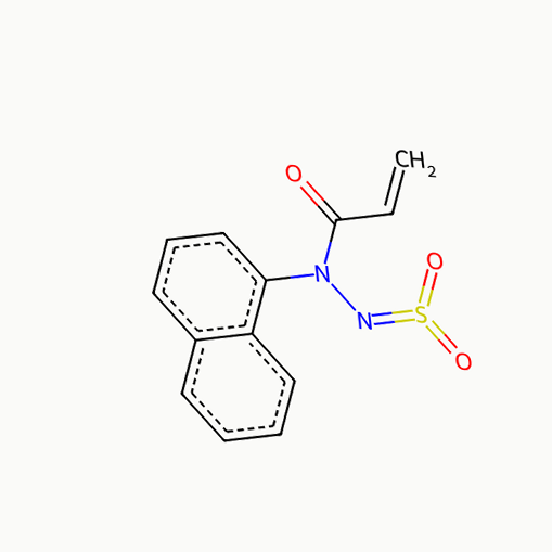 C=CC(=O)N(N=S(=O)=O)c1cccc2ccccc12